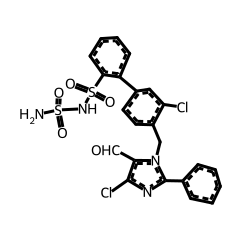 NS(=O)(=O)NS(=O)(=O)c1ccccc1-c1ccc(Cn2c(-c3ccccc3)nc(Cl)c2C=O)c(Cl)c1